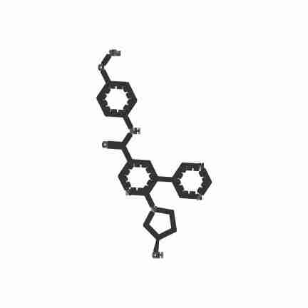 CC(C)(C)Oc1ccc(NC(=O)c2cnc(N3CC[C@@H](O)C3)c(-c3cncnc3)c2)cc1